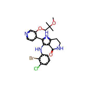 COC(C)(C)COc1cnccc1-c1[nH]c2c(c1Nc1cccc(Cl)c1Br)C(=O)NCC2